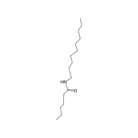 CCCCCCCCCCNC(=O)CCCCC